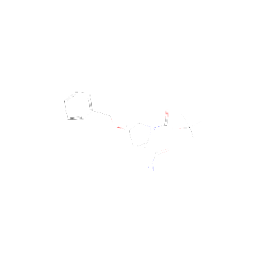 CC(C)(C)OC(=O)N1C[C@H](OCc2ccccc2)C[C@H]1C(N)=O